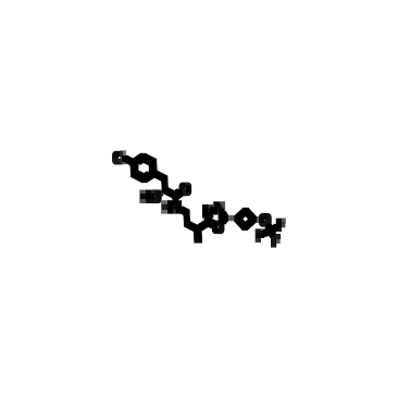 C=C(CCNC(=O)[C@H](O)Cc1ccc(Cl)cc1)c1nnc([C@H]2C[C@@H](OC(F)(F)F)C2)o1